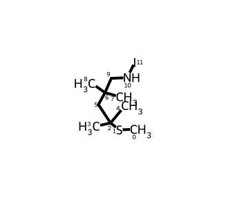 CSC(C)(C)CC(C)(C)CNI